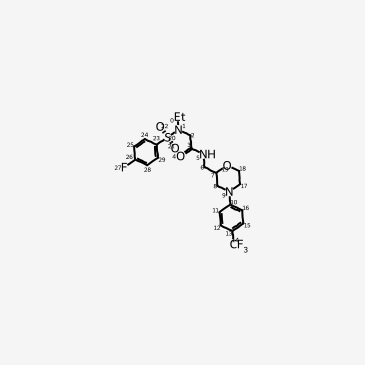 CCN(CC(=O)NCC1CN(c2ccc(C(F)(F)F)cc2)CCO1)S(=O)(=O)c1ccc(F)cc1